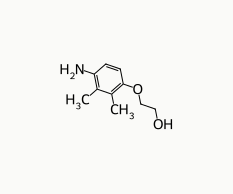 Cc1c(N)ccc(OCCO)c1C